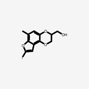 Cc1cc2c(c3cc(I)oc13)OCC(CO)O2